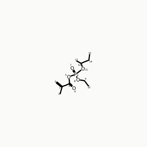 C=C(C)C(=O)OP(=O)(OCC)OC(C)CC